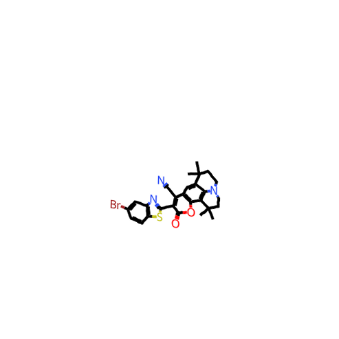 CC1(C)CCN2CCC(C)(C)c3c2c1cc1c(C#N)c(-c2nc4cc(Br)ccc4s2)c(=O)oc31